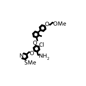 COCCOc1ccc(-c2cccc(COc3cc(OCc4cncc(SC)c4)c(CN)cc3Cl)c2C)cc1